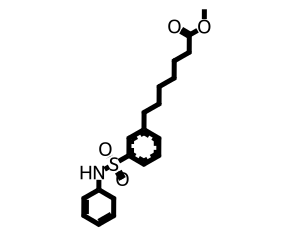 COC(=O)CCCCCCc1cccc(S(=O)(=O)NC2C=CC=CC2)c1